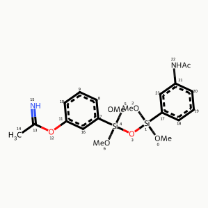 CO[Si](OC)(O[Si](OC)(OC)c1cccc(OC(C)=N)c1)c1cccc(NC(C)=O)c1